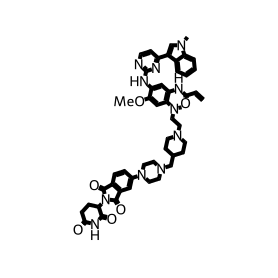 C=CC(=O)Nc1cc(Nc2nccc(-c3cn(C)c4ccccc34)n2)c(OC)cc1N(C)CCN1CCC(CN2CCN(c3ccc4c(c3)C(=O)N(C3CCC(=O)NC3=O)C4=O)CC2)CC1